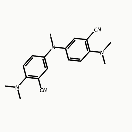 CN(C)c1ccc(N(I)c2ccc(N(C)C)c(C#N)c2)cc1C#N